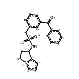 O=C(c1ccccc1)c1cccc(CS(=O)(=O)NC2CCn3cccc32)c1